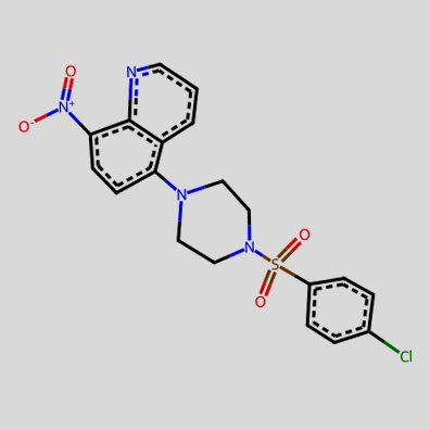 O=[N+]([O-])c1ccc(N2CCN(S(=O)(=O)c3ccc(Cl)cc3)CC2)c2cccnc12